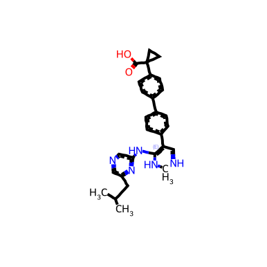 CN/C(Nc1cncc(CC(C)C)n1)=C(\C=N)c1ccc(-c2ccc(C3(C(=O)O)CC3)cc2)cc1